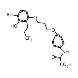 CC(=O)c1ccc(OCCCOc2ccc(NC(=O)C(=O)O)cc2)c(CCC(F)(F)F)c1O